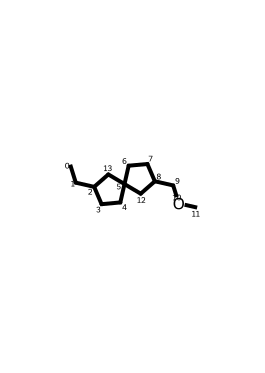 CCC1CCC2(CCC(COC)C2)C1